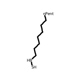 CCCCCCCCCCCCBS